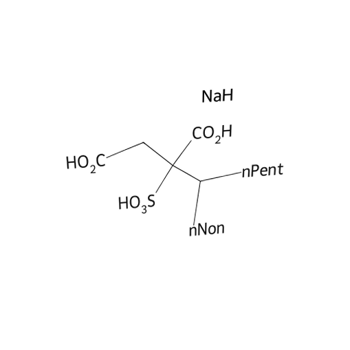 CCCCCCCCCC(CCCCC)C(CC(=O)O)(C(=O)O)S(=O)(=O)O.[NaH]